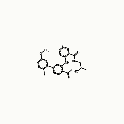 C=C(C)c1cnc(-c2cc(OC(F)(F)F)ccc2F)cc1Nc1ccncc1C(=O)NCC(C)O